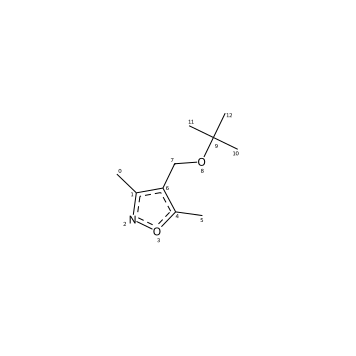 Cc1noc(C)c1COC(C)(C)C